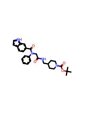 CC(C)(C)OC(=O)N1CCC(CNC(=O)CN(C(=O)c2ccc3cc[nH]c3c2)c2ccccc2)CC1